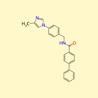 Cc1cn(-c2ccc(CNC(=O)c3ccc(-c4ccccc4)cc3)cc2)cn1